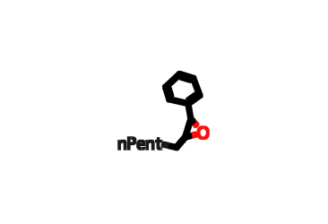 CCCCCCC1OC1c1ccccc1